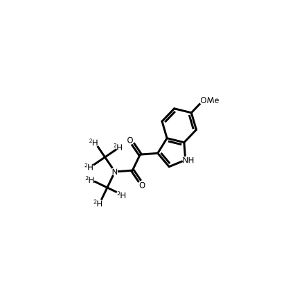 [2H]C([2H])([2H])N(C(=O)C(=O)c1c[nH]c2cc(OC)ccc12)C([2H])([2H])[2H]